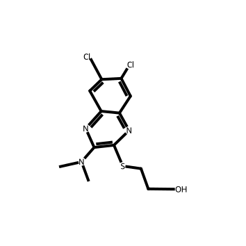 CN(C)c1nc2cc(Cl)c(Cl)cc2nc1SCCO